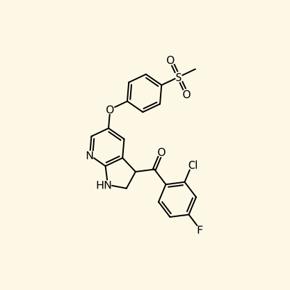 CS(=O)(=O)c1ccc(Oc2cnc3c(c2)C(C(=O)c2ccc(F)cc2Cl)CN3)cc1